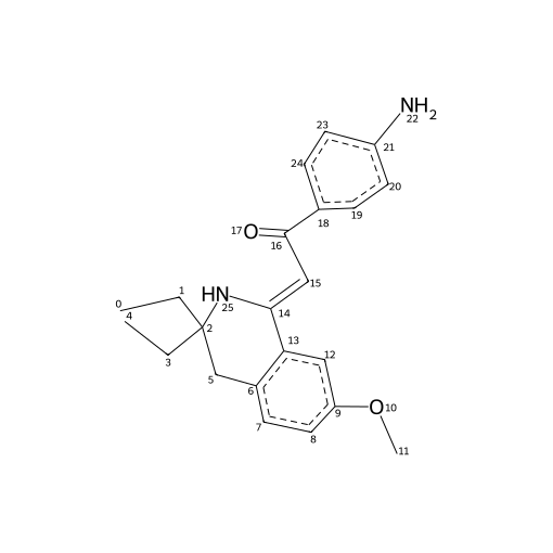 CCC1(CC)Cc2ccc(OC)cc2C(=CC(=O)c2ccc(N)cc2)N1